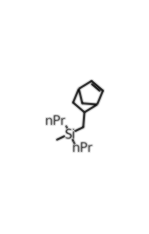 CCC[Si](C)(CCC)CC1CC2C=CC1C2